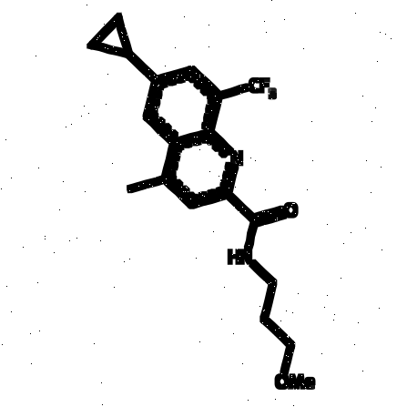 COCCCNC(=O)c1cc(C)c2cc(C3CC3)cc(C(F)(F)F)c2n1